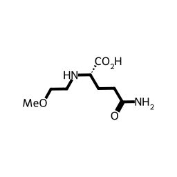 COCCN[C@@H](CCC(N)=O)C(=O)O